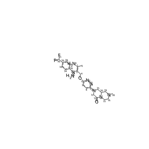 C/C(N)=C(\COc1ccc(N2CC(=O)N3CCN(C)CC3C2)nn1)N(N)c1ccc(C(F)F)cc1